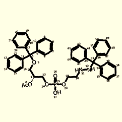 CC(=O)O[C@H](COC(c1ccccc1)(c1ccccc1)c1ccccc1)COP(=O)(O)OCCNNC(c1ccccc1)(c1ccccc1)c1ccccc1